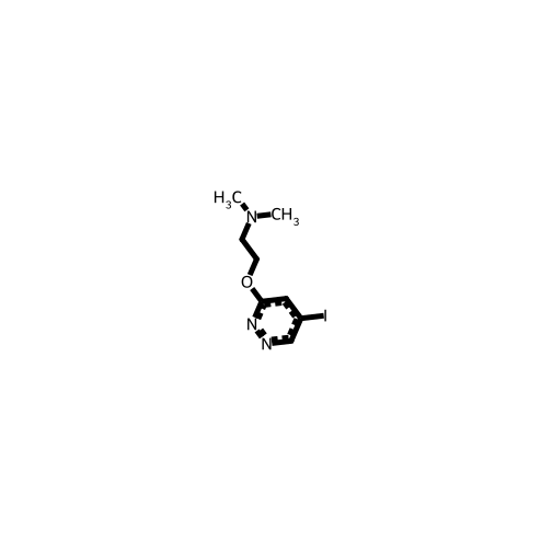 CN(C)CCOc1cc(I)cnn1